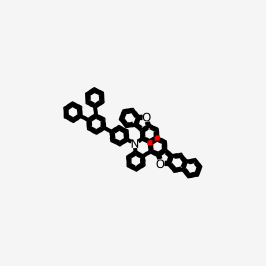 c1ccc(-c2ccc(-c3ccc(N(c4ccccc4-c4cccc5c4oc4cc6ccccc6cc45)c4cccc5oc6ccccc6c45)cc3)cc2-c2ccccc2)cc1